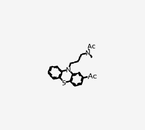 CC(=O)c1ccc2c(c1)N(CCCN(C)C(C)=O)c1ccccc1S2